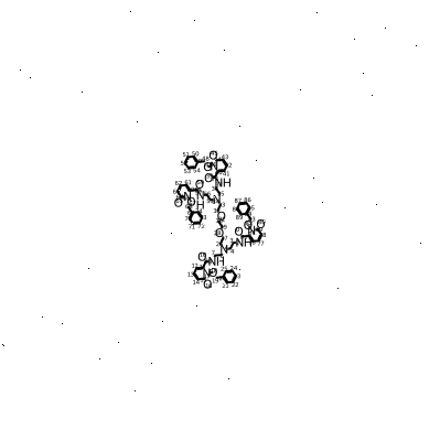 O=C(NCCN(CCNC(=O)c1cccc(=O)n1OCc1ccccc1)CCOCCOCCN(CCNC(=O)c1cccc(=O)n1OCc1ccccc1)CCNC(=O)c1cccc(=O)n1OCc1ccccc1)c1cccc(=O)n1OCc1ccccc1